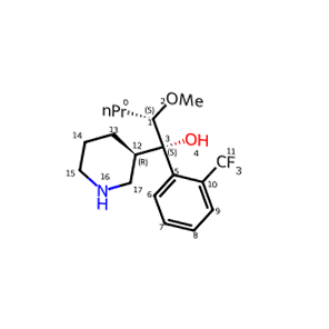 CCC[C@H](OC)[C@@](O)(c1ccccc1C(F)(F)F)[C@@H]1CCCNC1